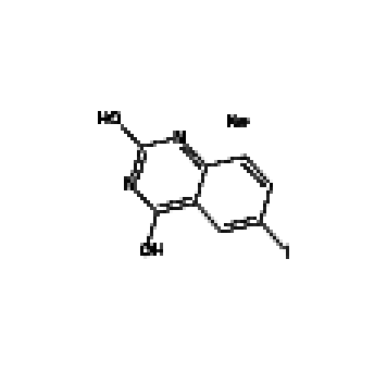 Oc1nc(O)c2cc(I)ccc2n1.[Na]